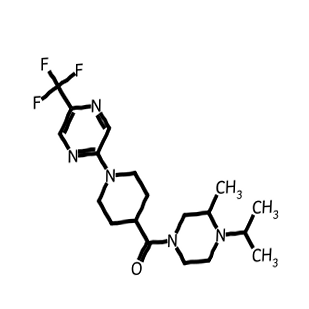 CC(C)N1CCN(C(=O)C2CCN(c3cnc(C(F)(F)F)cn3)CC2)CC1C